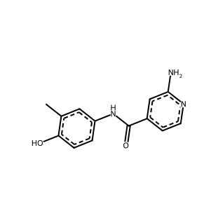 Cc1cc(NC(=O)c2ccnc(N)c2)ccc1O